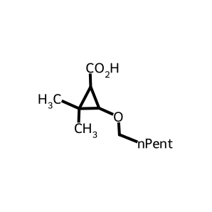 CCCCCCOC1C(C(=O)O)C1(C)C